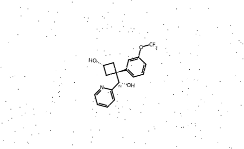 O[C@H](c1ccccn1)[C@]1(c2cccc(OC(F)(F)F)c2)C[C@H](O)C1